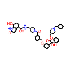 O=C(c1cccc(COc2cccc([C@](O)(C(=O)OCC3CCN(Cc4ccccc4)CC3)c3ccccc3)c2)c1)N1CCC(CNC[C@H](O)c2ccc(O)c3[nH]c(=O)ccc23)CC1